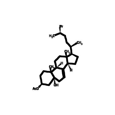 CC(=O)O[C@H]1CC[C@]2(C)[C@H]3CC[C@]4(C)[C@@H]([C@H](C)CC[C@H](C)C(C)C)CC[C@H]4C3=CC[C@@]2(O)C1